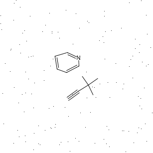 C#CC(C)(C)C.c1ccncc1